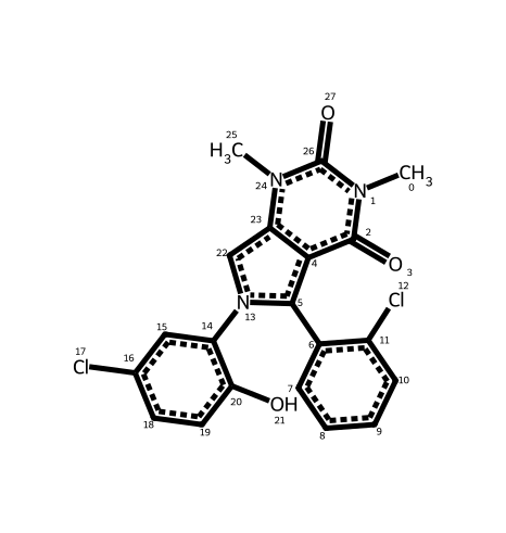 Cn1c(=O)c2c(-c3ccccc3Cl)n(-c3cc(Cl)ccc3O)cc2n(C)c1=O